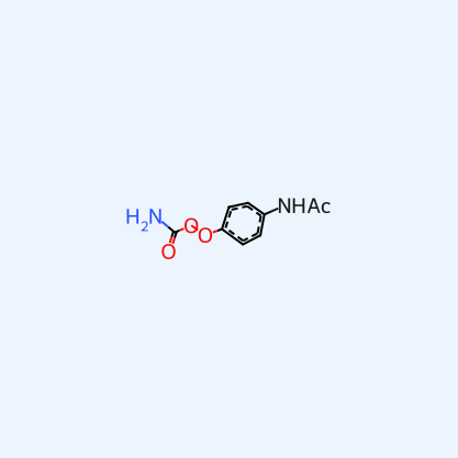 CC(=O)Nc1ccc(OOC(N)=O)cc1